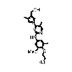 COc1cc(Nc2ncc(C)c(-n3cc(C)c(CO)c3)n2)cc(C)c1OCCO